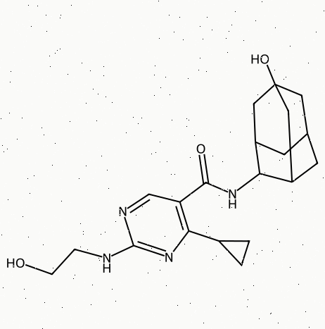 O=C(NC1C2CC3CC1CC(O)(C3)C2)c1cnc(NCCO)nc1C1CC1